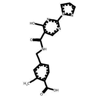 Cc1cc(CNC(=O)c2cnc(-n3cccn3)nc2O)ccc1C(=O)O